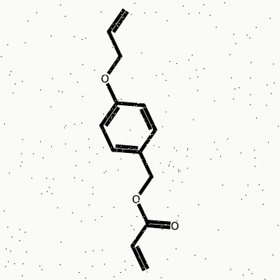 C=CCOc1ccc(COC(=O)C=C)cc1